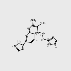 Cc1c(N)nc2cc(-c3ccn[nH]3)ccc2c1NCc1ccn[nH]1